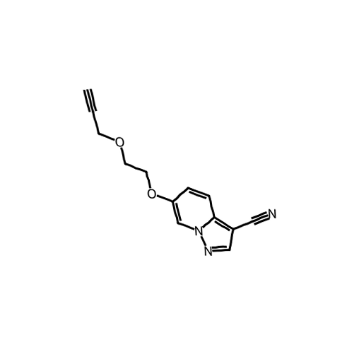 C#CCOCCOc1ccc2c(C#N)cnn2c1